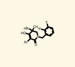 CCCCC1(C)CN(Cc2cccc(F)c2F)C(=O)C(C(C)=O)=C1O